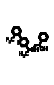 CC(NCC(O)c1ccccc1)c1ccc(-c2ccccc2C(F)(F)F)nc1